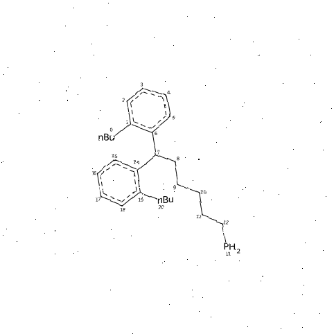 CCCCc1ccccc1C(CCCCCP)c1ccccc1CCCC